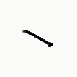 C=C(C)C(=O)OCCOCCOCCOCCOCCOCCOCCOCCOO